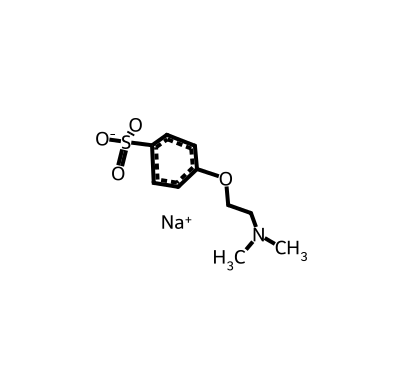 CN(C)CCOc1ccc(S(=O)(=O)[O-])cc1.[Na+]